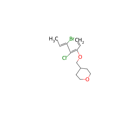 C=CC(OCC1CCOCC1)=C(Cl)C(Br)=CC